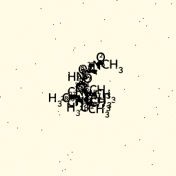 CC(=O)N1CC(S(=O)(=O)NC2CC3=C(C(C)(C)C)C(C(C)(C)C)N=C(C(C)(C)C)N3C2)C1